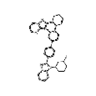 IC1CCCC(n2c(-c3ccc(-c4ccc5c6c(c7nc8cccnc8n7c5c4)CCC=C6)cc3)nc3ccccc32)C1